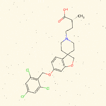 C[C@H](CCN1CCC2(CC1)COc1cc(OCc3c(Cl)cc(Cl)cc3Cl)ccc12)C(=O)O